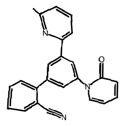 Cc1cccc(-c2cc(-c3ccccc3C#N)cc(-n3ccccc3=O)c2)n1